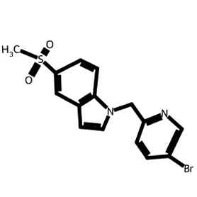 CS(=O)(=O)c1ccc2c(ccn2Cc2ccc(Br)cn2)c1